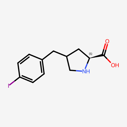 O=C(O)[C@@H]1CC(Cc2ccc(I)cc2)CN1